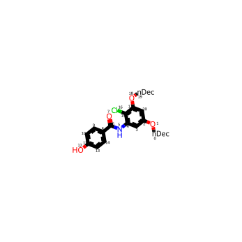 CCCCCCCCCCOc1cc(NC(=O)c2ccc(O)cc2)c(Cl)c(OCCCCCCCCCC)c1